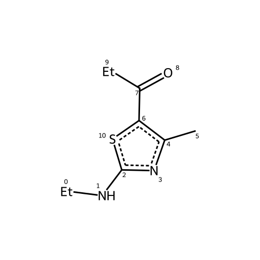 CCNc1nc(C)c(C(=O)CC)s1